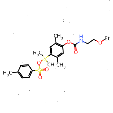 CCOCCNC(=O)Oc1cc(C)c(S(C)(C)OS(=O)(=O)c2ccc(C)cc2)cc1C